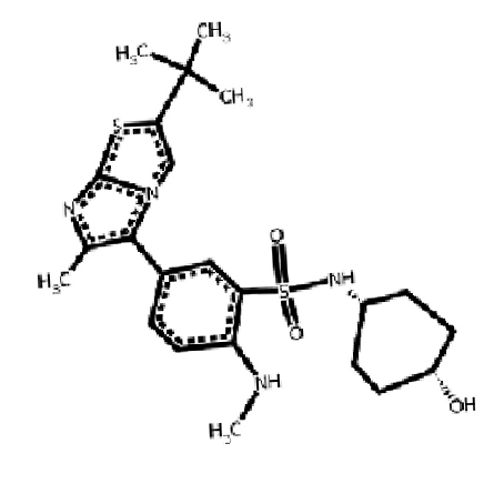 CNc1ccc(-c2c(C)nc3sc(C(C)(C)C)cn23)cc1S(=O)(=O)N[C@H]1CC[C@@H](O)CC1